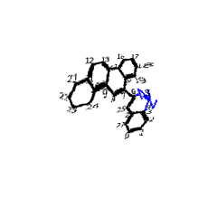 c1ccc2nnc(-c3cc4c5c(ccc4c4ccccc34)CCCC5)cc2c1